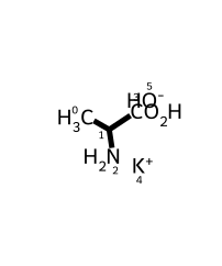 CC(N)C(=O)O.[K+].[OH-]